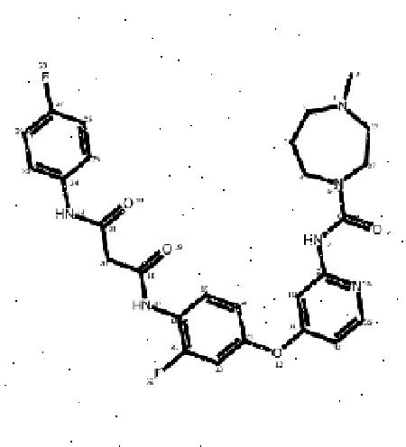 CN1CCCN(C(=O)Nc2cc(Oc3ccc(NC(=O)CC(=O)Nc4ccc(F)cc4)c(F)c3)ccn2)CC1